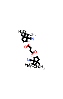 CCC1(CC)CCC(OC(=O)CCC(=O)OC2CCC(CC)(CC)C2(C#N)C(C)C)C1(C#N)C(C)C